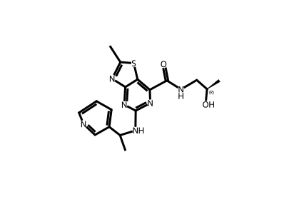 Cc1nc2nc(NC(C)c3cccnc3)nc(C(=O)NC[C@@H](C)O)c2s1